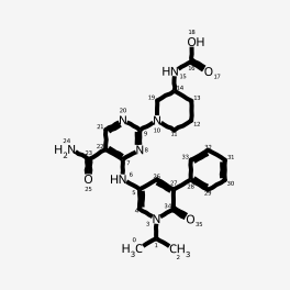 CC(C)n1cc(Nc2nc(N3CCCC(NC(=O)O)C3)ncc2C(N)=O)cc(-c2ccccc2)c1=O